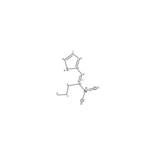 CCC/C(=C\c1cccs1)[N+](=O)[O-]